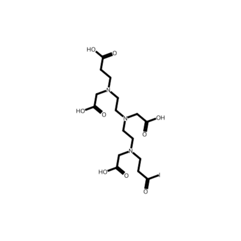 O=C(O)CCN(CCN(CCN(CCC(=O)I)CC(=O)O)CC(=O)O)CC(=O)O